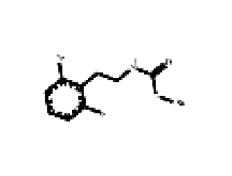 CC(C)(C)OC(=O)NCCc1c(F)cccc1Br